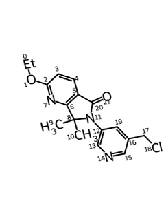 CCOc1ccc2c(n1)C(C)(C)N(c1cncc(CCl)c1)C2=O